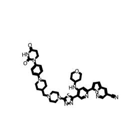 N#Cc1cnn2c(-c3cc(NC4CCOCC4)c(-c4nnc(N5CCN(CC6CCN(c7ccc(N8CCC(=O)NC8=O)cc7)CC6)CC5)s4)cn3)ccc2c1